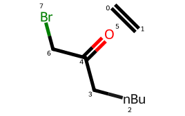 C=C.CCCCCC(=O)CBr